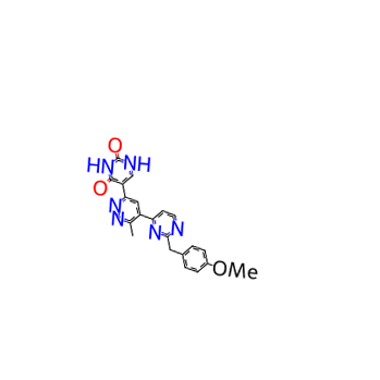 COc1ccc(Cc2nccc(-c3cc(-c4c[nH]c(=O)[nH]c4=O)nnc3C)n2)cc1